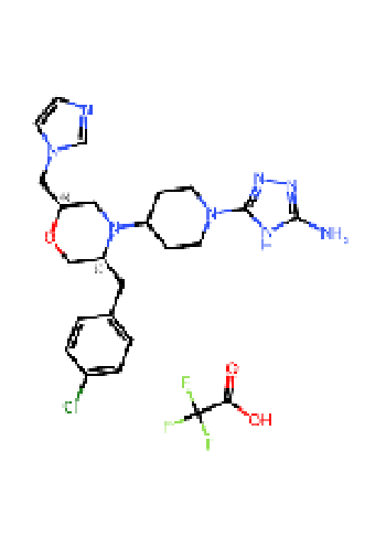 Nc1nnc(N2CCC(N3C[C@H](Cn4ccnc4)OC[C@@H]3Cc3ccc(Cl)cc3)CC2)[nH]1.O=C(O)C(F)(F)F